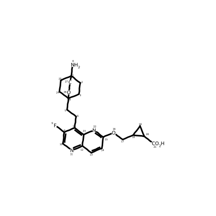 NC12CCC(CCc3c(F)cnc4ccc(OCC5CC5C(=O)O)nc34)(CC1)OC2